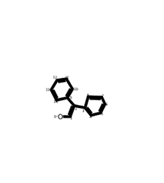 [O]C=C(c1ccccc1)c1ccccc1